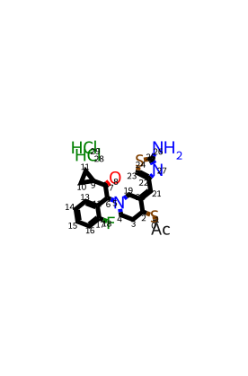 CC(=O)SC1CCN(C(C(=O)C2CC2)c2ccccc2F)CC1=Cc1csc(N)n1.Cl.Cl